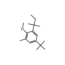 CCC(C)(C)c1cc(C(C)(C)C)cc(C)c1OC